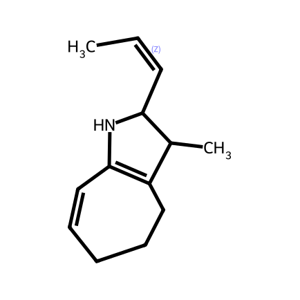 C/C=C\C1NC2=C(CCCC=C2)C1C